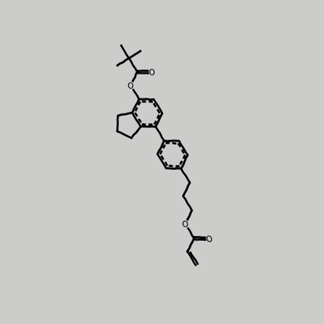 C=CC(=O)OCCCc1ccc(-c2ccc(OC(=O)C(C)(C)C)c3c2CCC3)cc1